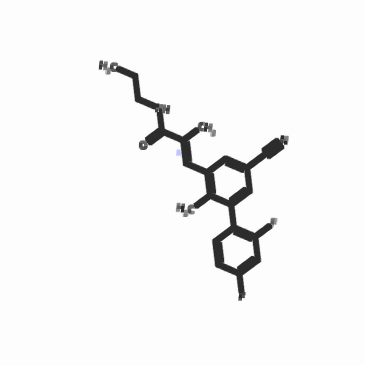 CCCNC(=O)/C(C)=C/c1cc(C#N)cc(-c2ccc(F)cc2F)c1C